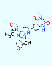 C[C@@H]1COCCN1c1nc(N2CCOC[C@@H]2C)nc2nc(-c3ccc4c(c3)C(=O)NCC(=O)N4)ccc12